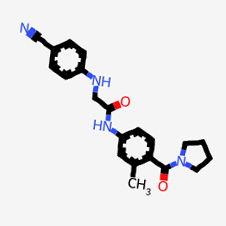 Cc1cc(NC(=O)CNc2ccc(C#N)cc2)ccc1C(=O)N1CCCC1